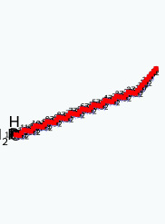 CC(C)=CCC/C(C)=C/CC/C(C)=C/CC/C(C)=C/CC/C(C)=C\CC/C(C)=C\CC/C(C)=C\CC/C(C)=C\CC/C(C)=C\CC/C(C)=C\CC/C(C)=C\CC/C(C)=C\CC/C(C)=C\CC/C(C)=C\CC/C(C)=C\CC/C(C)=C\CC/C(C)=C\CC/C(C)=C\CC/C(C)=C\CC/C(C)=C\CC/C(C)=C\CC/C(C)=C\CC/C(C)=C\CC/C(C)=C\CC/C(C)=C\COPP